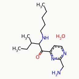 CCCCCNC(C(=O)c1ccnc(CN)n1)C(C)CC.O